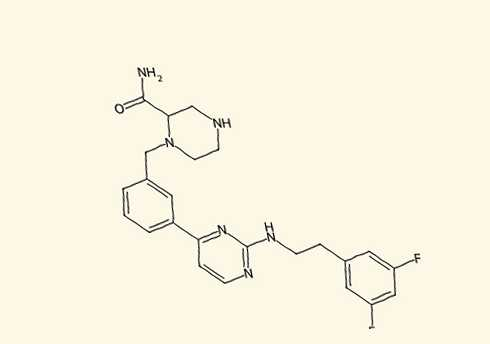 NC(=O)C1CNCCN1Cc1cccc(-c2ccnc(NCCc3cc(F)cc(F)c3)n2)c1